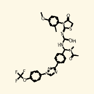 COc1ccc(N2C(=O)CS/C2=N\C(O)NC(c2ccc(-c3ncn(-c4ccc(OC(F)(F)F)cc4)n3)cc2)N(C)C(C)=O)c(C)c1